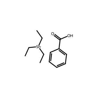 C[CH2][Sn]([CH2]C)[CH2]C.O=C(O)c1ccccc1